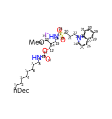 CCCCCCCCCCCCCCCCCCNC(=O)OCC(CNS(=O)(=O)CCC[n+]1cccc2ccccc21)COC.[I-]